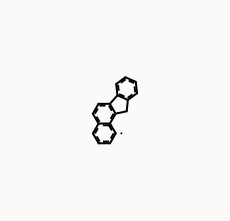 [c]1cccc2ccc3c(c12)Cc1ccccc1-3